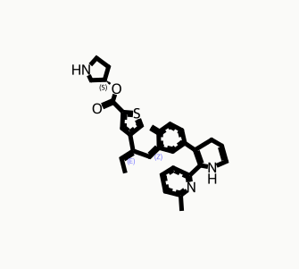 C=c1ccc(C2=C(c3cccc(C)n3)NC=CC2)c/c1=C/C(=C\C)c1csc(C(=O)O[C@H]2CCNC2)c1